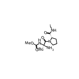 COC(=O)N[C@](N)(C(=O)N1CCC[C@H]1C(=O)NI)C(C)(C)C